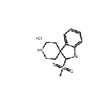 CS(=O)(=O)C1Nc2ccccc2C12CCNCC2.Cl